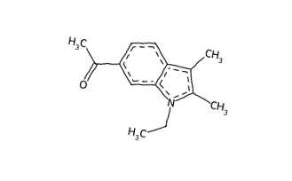 CCn1c(C)c(C)c2ccc(C(C)=O)cc21